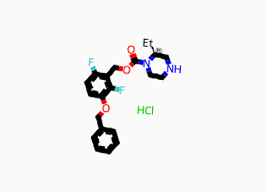 CC[C@@H]1CNCCN1C(=O)OCc1c(F)ccc(OCc2ccccc2)c1F.Cl